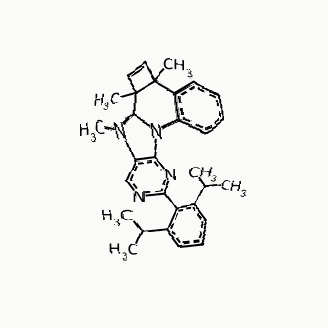 CC(C)c1cccc(C(C)C)c1-c1ncc2c(n1)N1c3ccccc3C3(C)C=CC3(C)C1N2C